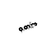 O=C(Cc1cccs1)N/C(=C/c1ccc(Oc2ccccc2I)cc1)C(=O)O